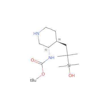 CC(C)(C)OC(=O)N[C@@H]1CNCC[C@H]1CC(C)(C)[Si](C)(C)O